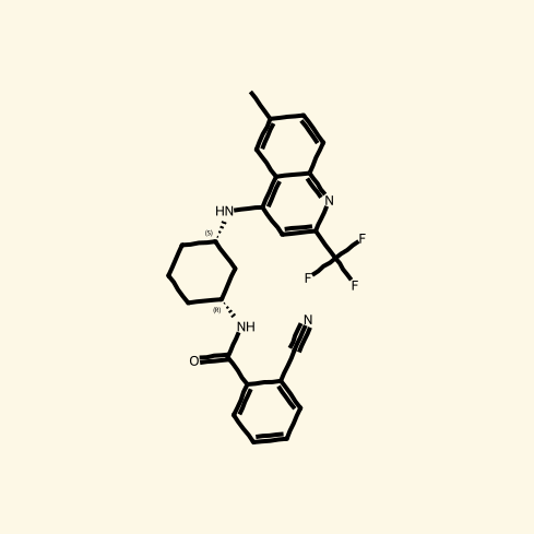 Cc1ccc2nc(C(F)(F)F)cc(N[C@H]3CCC[C@@H](NC(=O)c4ccccc4C#N)C3)c2c1